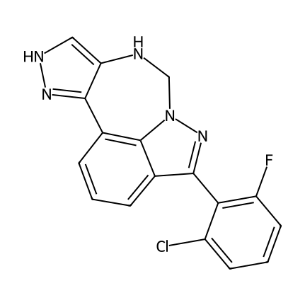 Fc1cccc(Cl)c1-c1nn2c3c(cccc13)-c1n[nH]cc1NC2